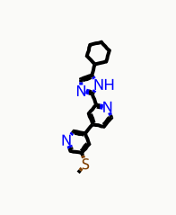 CSc1cncc(-c2ccnc(-c3ncc(C4CCCCC4)[nH]3)c2)c1